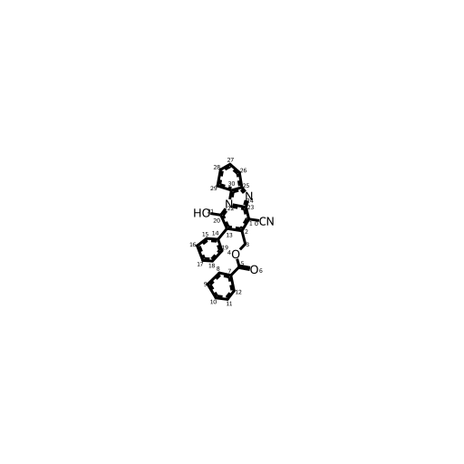 N#Cc1c(COC(=O)c2ccccc2)c(-c2ccccc2)c(O)n2c1nc1ccccc12